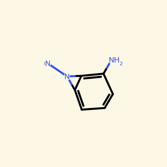 [N]N1c2cccc(N)c21